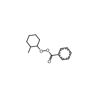 CC1CCCC[C]1OOC(=O)c1ccccc1